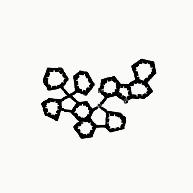 c1ccc(-c2ccccc2N(c2ccc3c(c2)C(c2ccccc2)(c2ccccc2)c2ccccc2-3)c2nccc3c2oc2ccc4ccccc4c23)cc1